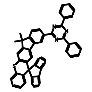 CC1(C)c2ccc(-c3nc(-c4ccccc4)nc(-c4ccccc4)n3)cc2-c2cc3c(cc21)Sc1ccccc1C31c2ccccc2-c2ccccc21